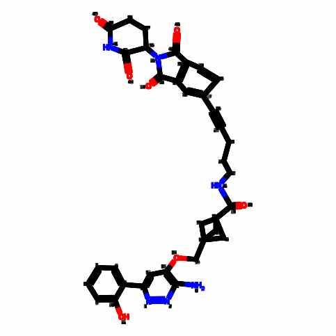 Nc1nnc(-c2ccccc2O)cc1OCC12CC(C(=O)NCCCC#Cc3ccc4c(c3)C(=O)N(C3CCC(=O)NC3=O)C4=O)(C1)C2